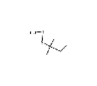 CCC(C)(C)SCO